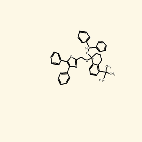 CC(C)(C)c1cccc2c1CCC[C@@]2(OCc1nc(-c2ccccc2)c(-c2ccccc2)o1)O[SiH](c1ccccc1)c1ccccc1